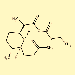 CCOC(=O)OC(=O)C(C)[C@@H]1CC[C@@H](C)[C@@H]2CCC(C)=C[C@@H]21